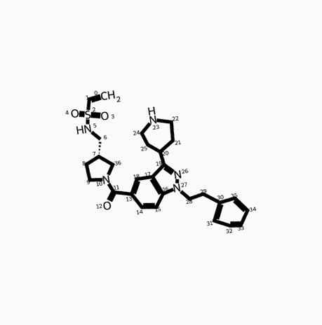 C=CS(=O)(=O)NC[C@H]1CCN(C(=O)c2ccc3c(c2)c(C2CCNCC2)nn3CCc2ccccc2)C1